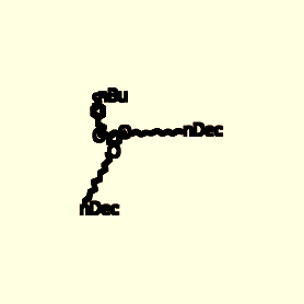 CCCCCCCCCCCCCCCCCCCCCOc1cc(OCCCCCCCCCCCCCCCCCCCCC)cc(C(=O)C=Cc2ccc(SCCCC)cc2)c1